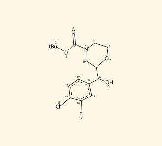 CC(C)(C)OC(=O)N1CCOC(C(O)c2ccc(Cl)c(F)c2)C1